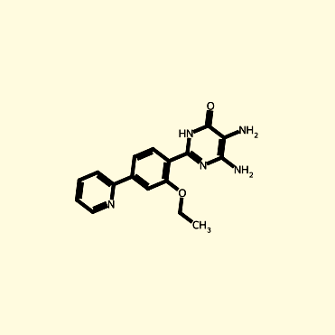 CCOc1cc(-c2ccccn2)ccc1-c1nc(N)c(N)c(=O)[nH]1